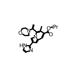 C=C(c1c(C)c(C(=O)OC(C)C)cc2cc(-c3ncc[nH]3)cn12)N1CCOCC1